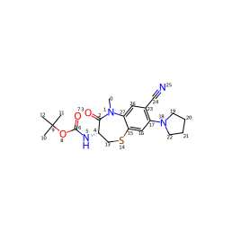 CN1C(=O)[C@@H](NC(=O)OC(C)(C)C)CSc2cc(N3CCCC3)c(C#N)cc21